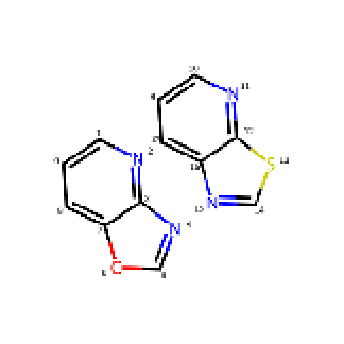 c1cnc2ncoc2c1.c1cnc2scnc2c1